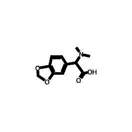 CN(C)C(C(=O)O)c1ccc2c(c1)OCO2